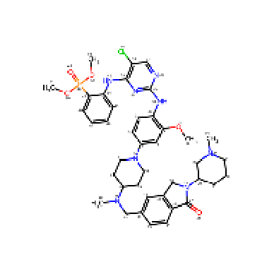 COc1cc(N2CCC(N(C)Cc3ccc4c(c3)CN(C3CCCN(C)C3)C4=O)CC2)ccc1Nc1ncc(Cl)c(Nc2ccccc2P(=O)(OC)OC)n1